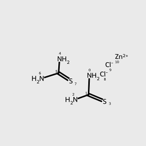 NC(N)=S.NC(N)=S.[Cl-].[Cl-].[Zn+2]